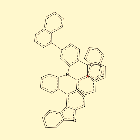 c1ccc(-c2ccc(-c3cccc4ccccc34)cc2N(c2ccccc2-c2cccc3oc4ccccc4c23)c2cccc3oc4ccccc4c23)cc1